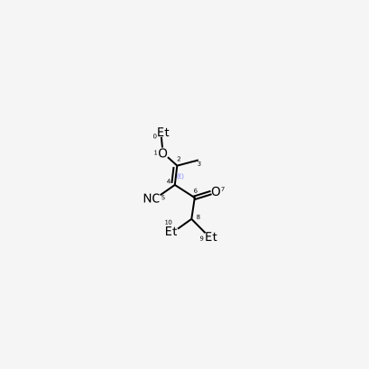 CCO/C(C)=C(\C#N)C(=O)C(CC)CC